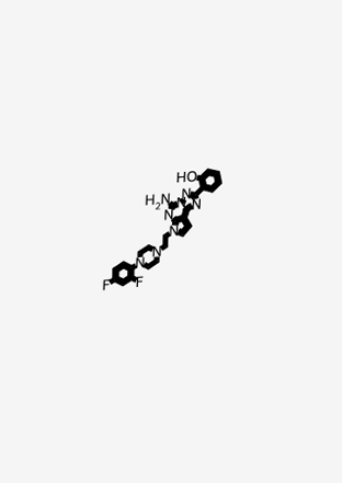 Nc1nc2c(ccn2CCN2CCN(c3ccc(F)cc3F)CC2)c2nc(-c3ccccc3O)nn12